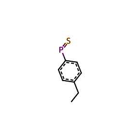 CCc1ccc(P=S)cc1